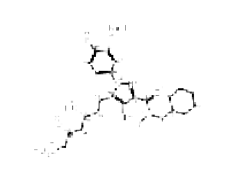 CC(C)c1c(C(=O)N(C)CC2CCCCC2)nn(-c2ccc(F)cc2)c1CC[C@@H](O)C[C@@H](O)CC(=O)O.[NaH]